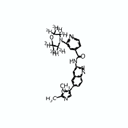 [2H]C1([2H])OC([2H])([2H])C([2H])([2H])N(c2cc(C(=O)Nc3cc4cc(-c5cnc(C)n5C)ccc4nn3)ccn2)C1([2H])[2H]